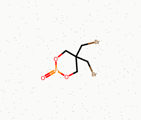 O=[P]1OCC(CBr)(CBr)CO1